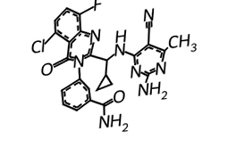 Cc1nc(N)nc(NC(c2nc3c(F)ccc(Cl)c3c(=O)n2-c2cccc(C(N)=O)c2)C2CC2)c1C#N